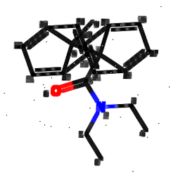 CCN(CC)C(=O)C1(C2(C)C3=CC=C2C=C3)C2=CC=C1C=C2